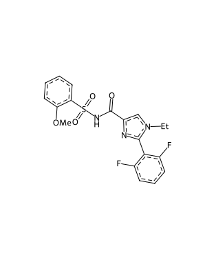 CCn1cc(C(=O)NS(=O)(=O)c2ccccc2OC)nc1-c1c(F)cccc1F